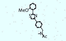 COc1ccccc1-c1nc(-c2ccc(CN(C)C(C)=O)cc2)cs1